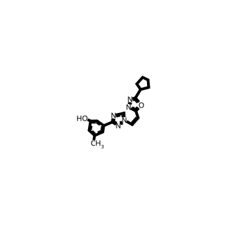 Cc1cc(O)cc(-c2ncn(/C=C\c3nnc(C4CCCC4)o3)n2)c1